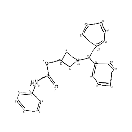 O=C(Nc1ccccc1)OC1CN(C(c2ccccc2)c2ccccc2)C1